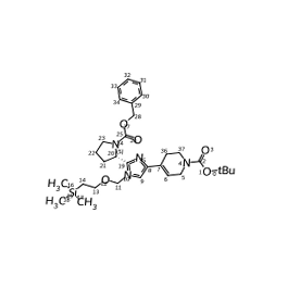 CC(C)(C)OC(=O)N1CC=C(c2cn(COCC[Si](C)(C)C)c([C@@H]3CCCN3C(=O)OCc3ccccc3)n2)CC1